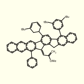 C=C(/C=C1\c2c3c(cc(C4C=CC=C(C(C)(C)C)C4)c2-c2cc4cc5ccccc5cc4c(-c4ccccc4)c21)-c1c(cc2ccccc2c1-c1cc(C(C)(C)C)cc(C(C)(C)C)c1)C3)OC